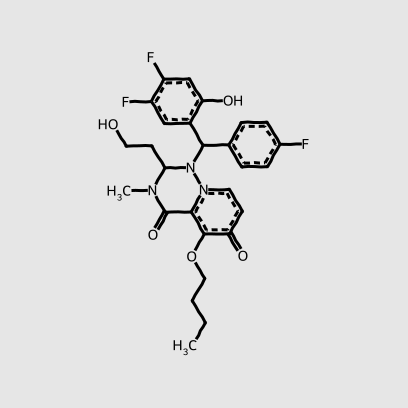 CCCCOc1c2n(ccc1=O)N(C(c1ccc(F)cc1)c1cc(F)c(F)cc1O)C(CCO)N(C)C2=O